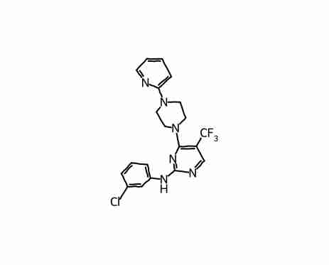 FC(F)(F)c1cnc(Nc2cccc(Cl)c2)nc1N1CCN(c2ccccn2)CC1